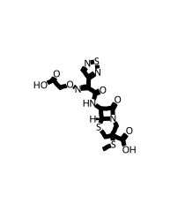 CSC1(C(=O)O)CS[C@@H]2C(NC(=O)C(=NOCC(=O)O)c3cnsn3)C(=O)N2C1